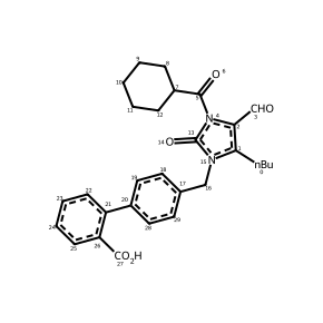 CCCCc1c(C=O)n(C(=O)C2CCCCC2)c(=O)n1Cc1ccc(-c2ccccc2C(=O)O)cc1